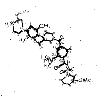 COC[C@H]1CN(c2cc(C)c3c4c(c(=O)oc3c2C)CN(C(=O)c2cc(N(C)C)c(C(=O)NS(=O)(=O)N3CCC[C@H](OC)C3)cc2F)CC4)CCN1C